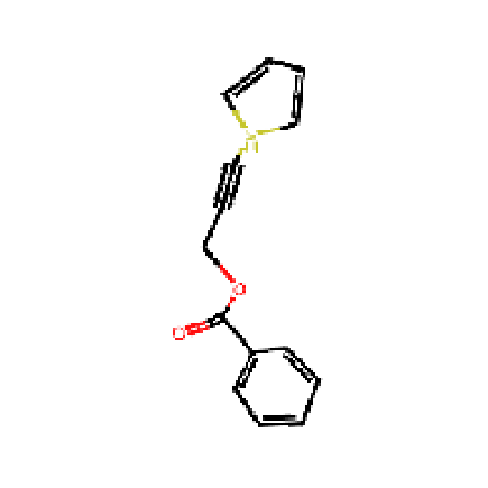 O=C(OCC#C[SH]1C=CC=C1)c1ccccc1